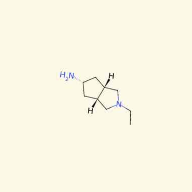 CCN1C[C@H]2C[C@@H](N)C[C@H]2C1